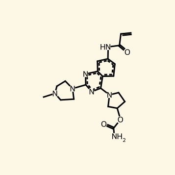 C=CC(=O)Nc1ccc2c(N3CCC(OC(N)=O)C3)nc(N3CCN(C)CC3)nc2c1